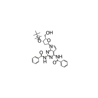 CC(C)(C)[Si](C)(C)O[C@H]1C[C@H](n2ccc3c(NC(=O)c4ccccc4)nc(NC(=O)c4ccccc4)nc32)O[C@@H]1CO